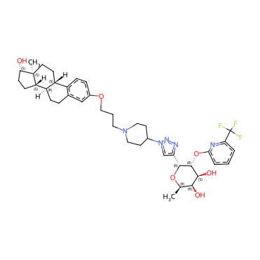 C[C@H]1O[C@H](c2cn(C3CCN(CCCOc4ccc5c(c4)CC[C@@H]4[C@@H]5CC[C@]5(C)[C@@H](O)CC[C@@H]45)CC3)nn2)[C@H](Oc2cccc(C(F)(F)F)n2)[C@@H](O)[C@H]1O